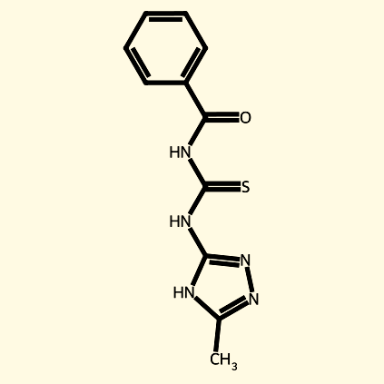 Cc1nnc(NC(=S)NC(=O)c2ccccc2)[nH]1